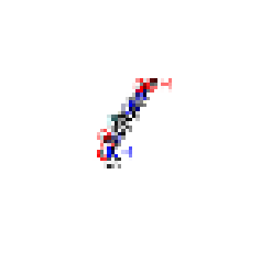 CCC(=O)NC1CN(c2ccc(-c3ccc(N4CCN(C(=O)CO)CC4)nc3)c(F)c2)C(=O)O1